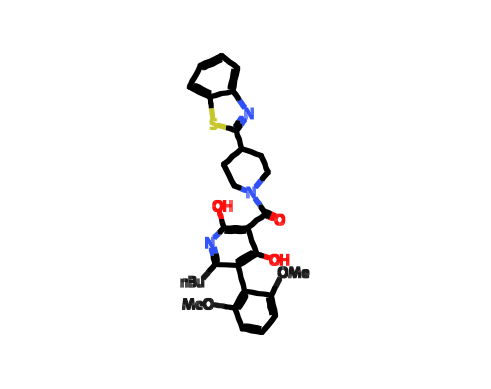 CCCCc1nc(O)c(C(=O)N2CCC(c3nc4ccccc4s3)CC2)c(O)c1-c1c(OC)cccc1OC